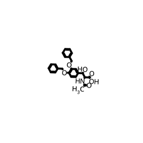 CC(=O)NC(C(=O)O)C(O)c1ccc(OCc2ccccc2)c(OCc2ccccc2)c1